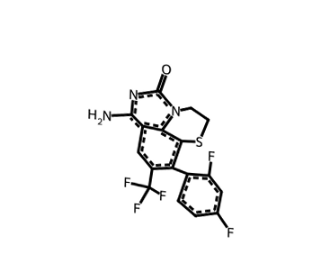 Nc1nc(=O)n2c3c(c(-c4ccc(F)cc4F)c(C(F)(F)F)cc13)SCC2